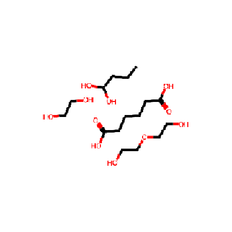 CCCC(O)O.O=C(O)CCCCC(=O)O.OCCO.OCCOCCO